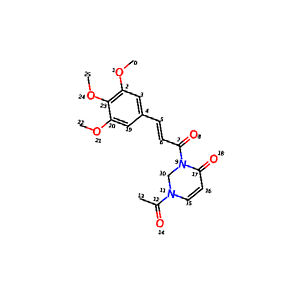 COc1cc(C=CC(=O)N2CN(C(C)=O)C=CC2=O)cc(OC)c1OC